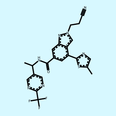 Cc1cnc(-c2cc(C(=O)NC(C)c3cnc(C(F)(F)F)nc3)cc3nn(CCC#N)cc23)s1